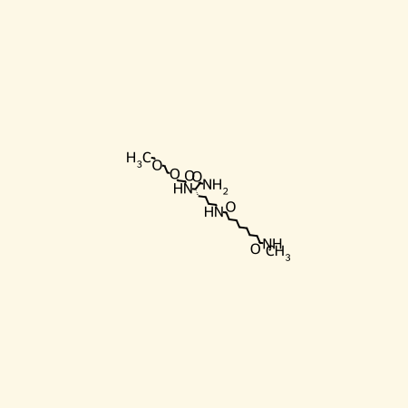 CCOCCOCC(=O)N[C@@H](CCCCNC(=O)CCCCCCC(=O)NC)C(N)=O